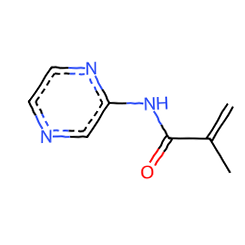 C=C(C)C(=O)Nc1cnccn1